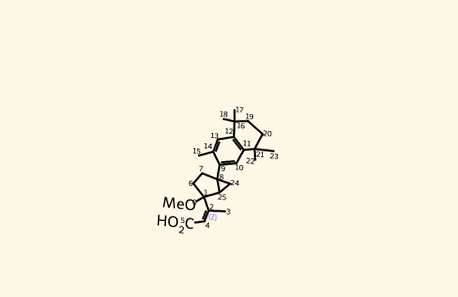 COC1(/C(C)=C\C(=O)O)CCC2(c3cc4c(cc3C)C(C)(C)CCC4(C)C)CC12